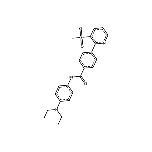 CCN(CC)c1ccc(NC(=O)c2ccc(-c3ncccc3S(C)(=O)=O)cc2)cc1